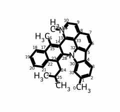 Cc1ccc2c3ccc4cc[n+](C)c5c6c(C)c7ccccc7c(CC(C)C)c6n(c2c1)c3c45